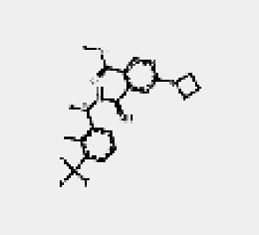 CNC(=O)c1cnc(N2CCC2)cc1C(=N)N[C@H](C)c1cccc(C(F)(F)F)c1C